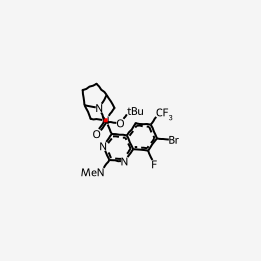 CNc1nc(N2CC3CCC(C2)N3C(=O)OC(C)(C)C)c2cc(C(F)(F)F)c(Br)c(F)c2n1